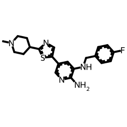 CN1CCC(c2ncc(-c3cnc(N)c(NCc4ccc(F)cc4)c3)s2)CC1